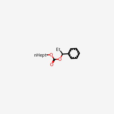 CCCCCCCOC(=O)OC(CC)c1ccccc1